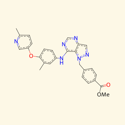 COC(=O)c1ccc(Cn2ncc3ncnc(Nc4ccc(Oc5ccc(C)nc5)c(C)c4)c32)cc1